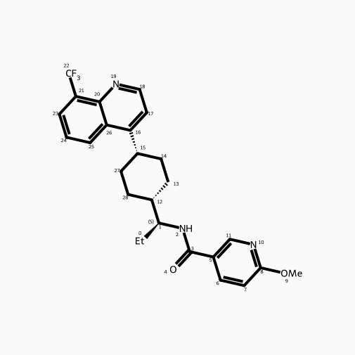 CC[C@H](NC(=O)c1ccc(OC)nc1)[C@H]1CC[C@@H](c2ccnc3c(C(F)(F)F)cccc32)CC1